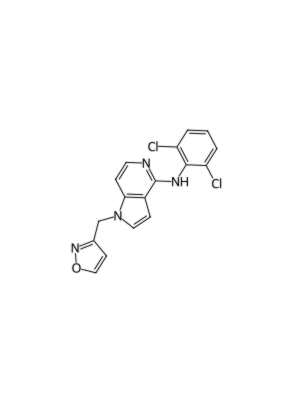 Clc1cccc(Cl)c1Nc1nccc2c1ccn2Cc1ccon1